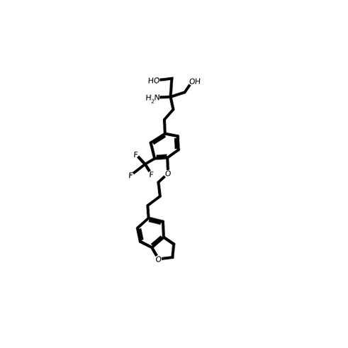 NC(CO)(CO)CCc1ccc(OCCCc2ccc3c(c2)CCO3)c(C(F)(F)F)c1